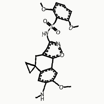 CNc1cc2c(cc1OC)-c1onc(NS(=O)(=O)c3c(OC)cccc3OC)c1CC21CC1